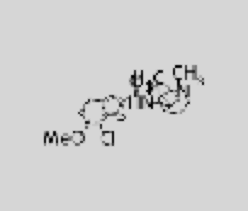 COc1ccc2cc(C(=O)N[C@@H]3C4CCN(CC4)C3(C)C)sc2c1Cl